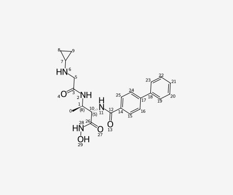 C[C@@H](NC(=O)CNC1CC1)[C@H](NC(=O)c1ccc(-c2ccccc2)cc1)C(=O)NO